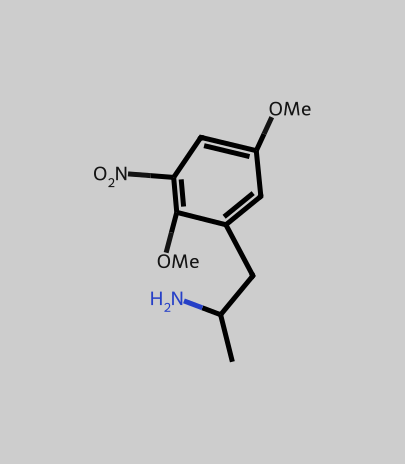 COc1cc(CC(C)N)c(OC)c([N+](=O)[O-])c1